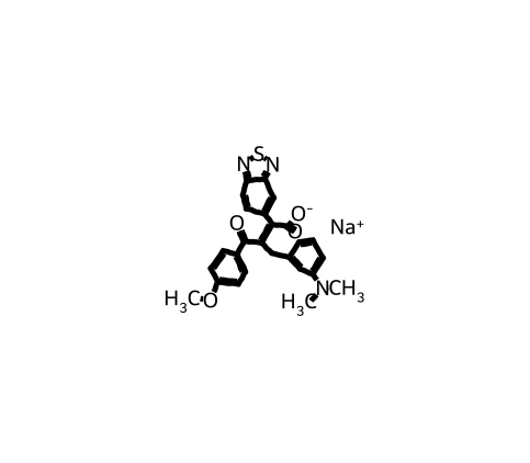 COc1ccc(C(=O)C(Cc2cccc(N(C)C)c2)=C(C(=O)[O-])c2ccc3nsnc3c2)cc1.[Na+]